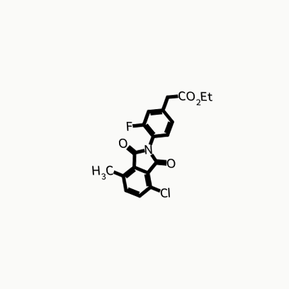 CCOC(=O)Cc1ccc(N2C(=O)c3c(C)ccc(Cl)c3C2=O)c(F)c1